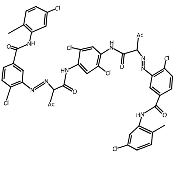 CC(=O)C(N=Nc1cc(C(=O)Nc2cc(Cl)ccc2C)ccc1Cl)C(=O)Nc1cc(Cl)c(NC(=O)C(N=Nc2cc(C(=O)Nc3cc(Cl)ccc3C)ccc2Cl)C(C)=O)cc1Cl